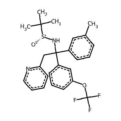 Cc1cccc(C(Cc2ccccn2)(N[S@+]([O-])C(C)(C)C)c2cccc(OC(F)(F)F)c2)c1